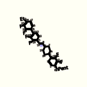 CCCCCc1ccc(C2CCC(/C=C/c3ccc(-c4ccc(CC)c(F)c4F)c(F)c3F)CC2)c(F)c1F